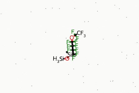 C[SiH](O[SiH3])C(F)(F)C(F)(F)C(F)(F)C(F)(F)OC(F)(F)C(F)(F)F